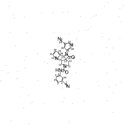 N#Cc1cccc(NC(=O)N2CCC3(CC2)C(=O)N(c2cncc(C#N)c2)C3c2ccccn2)c1